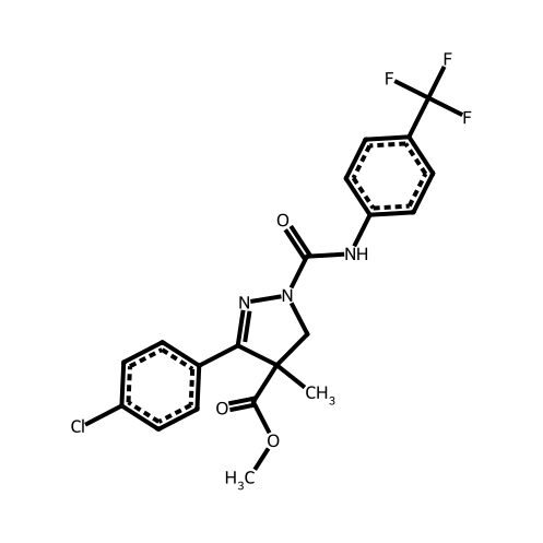 COC(=O)C1(C)CN(C(=O)Nc2ccc(C(F)(F)F)cc2)N=C1c1ccc(Cl)cc1